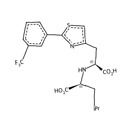 CC(C)C[C@H](N[C@@H](Cc1csc(-c2cccc(C(F)(F)F)c2)n1)C(=O)O)C(=O)O